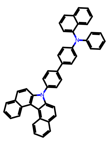 c1ccc(N(c2ccc(-c3ccc(-n4c5ccc6ccccc6c5c5c6ccccc6ccc54)cc3)cc2)c2cccc3ccccc23)cc1